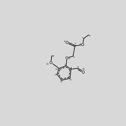 CCOC(=O)COc1c(C=O)cccc1OC